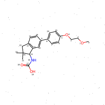 COCCOc1ccc(-c2ccc3c(c2)C(NC(=O)O)C(C)(C)C3)cc1